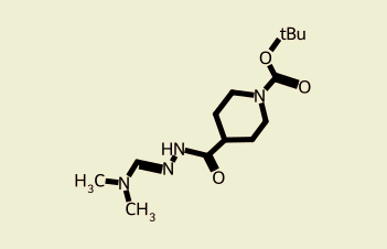 CN(C)C=NNC(=O)C1CCN(C(=O)OC(C)(C)C)CC1